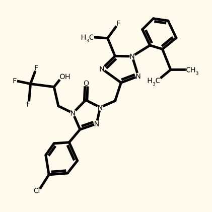 CC(C)c1ccccc1-n1nc(Cn2nc(-c3ccc(Cl)cc3)n(CC(O)C(F)(F)F)c2=O)nc1C(C)F